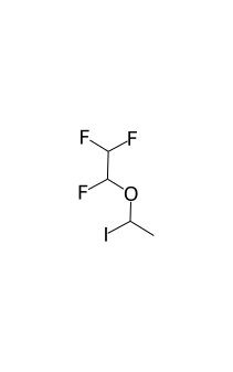 CC(I)OC(F)C(F)F